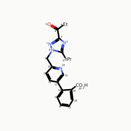 CCCc1nc(C(=O)CC)nn1Cc1ccc(-c2ccccc2C(=O)O)cn1